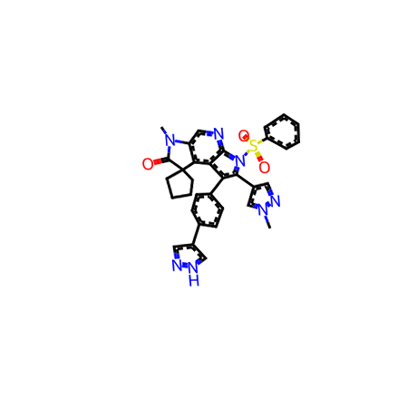 CN1C(=O)C2(CCCC2)c2c1cnc1c2c(-c2ccc(-c3cn[nH]c3)cc2)c(-c2cnn(C)c2)n1S(=O)(=O)c1ccccc1